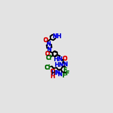 O=C(NCc1ccc(C(=O)N2CCN(C(=O)C3CCNCC3)CC2)c(Cl)c1)c1ncc(-c2c(C(F)(F)F)n[nH]c2C[C@H](O)CCl)[nH]1